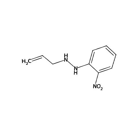 C=CCNNc1ccccc1[N+](=O)[O-]